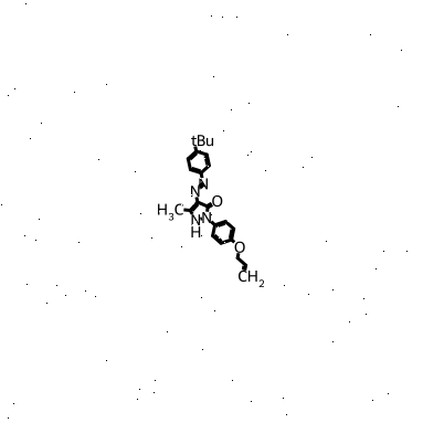 C=CCOc1ccc(-n2[nH]c(C)c(N=Nc3ccc(C(C)(C)C)cc3)c2=O)cc1